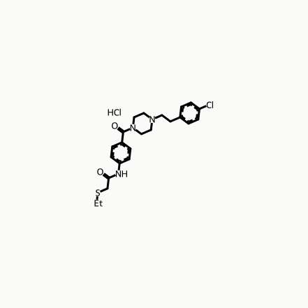 CCSCC(=O)Nc1ccc(C(=O)N2CCN(CCc3ccc(Cl)cc3)CC2)cc1.Cl